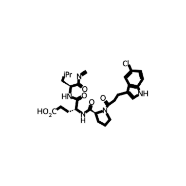 C=NC(=O)[C@H](CC(C)C)NC(=O)[C@@H](CCC(=O)O)NC(=O)[C@@H]1CCCN1C(=O)CCc1c[nH]c2ccc(Cl)cc12